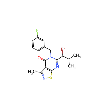 Cc1nsc2nc(C(Br)C(C)C)n(Cc3cccc(F)c3)c(=O)c12